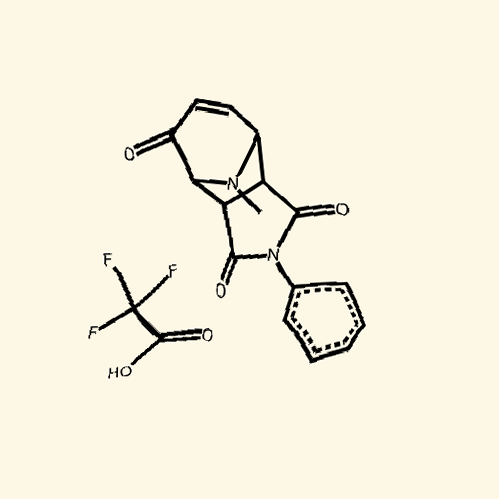 CN1C2C=CC(=O)C1C1C(=O)N(c3ccccc3)C(=O)C12.O=C(O)C(F)(F)F